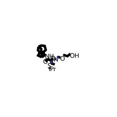 C/C(SC(C)C)=C(\O/N=C/OCCCO)C(=O)NC1C2CC3CCCC1C(C3)C2